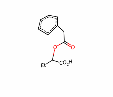 CCC(OC(=O)Cc1ccccc1)C(=O)O